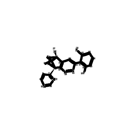 CC1(C)[C@H]2CC[C@]1(c1ccncn1)c1nnc(-c3c(F)cccc3F)cc12